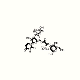 CC(=O)N[C@@H]1[C@@H](OC(C)C(=O)OC[C@H]2O[C@@H](n3ccc(=O)[nH]c3=O)[C@H](O)[C@@H]2OP(=O)(O)OP(=O)(O)O)[C@H](O)[C@@H](CO)O[C@@H]1O